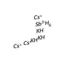 [Cs+].[Cs+].[Cs+].[KH].[KH].[KH].[SbH6-3]